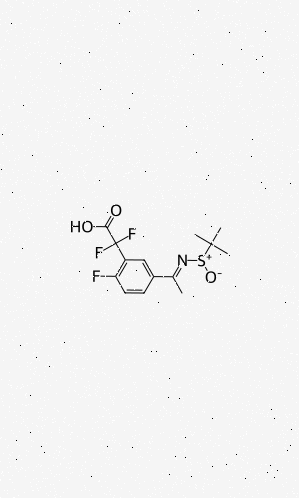 CC(=N[S+]([O-])C(C)(C)C)c1ccc(F)c(C(F)(F)C(=O)O)c1